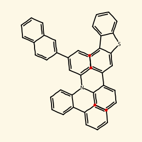 c1ccc(-c2ccccc2N(c2cccc(-c3ccc4ccccc4c3)c2)c2ccccc2-c2ccc3c(c2)sc2ccccc23)cc1